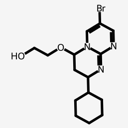 OCCOC1CC(C2CCCCC2)N=C2N=CC(Br)=CN21